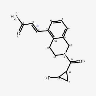 NC(=O)/C=C/c1cccc2c1CCN(C(=O)C1CC1F)C2